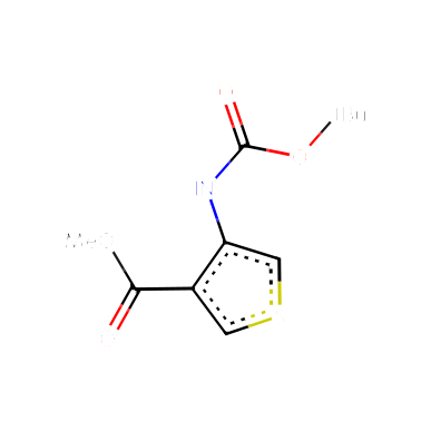 COC(=O)c1cscc1NC(=O)OC(C)(C)C